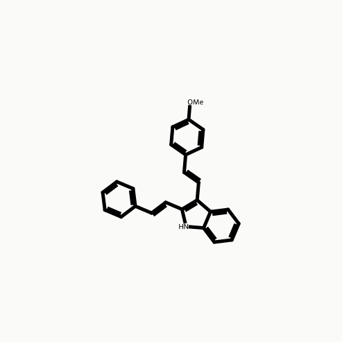 COc1ccc(/C=C/c2c(/C=C/c3ccccc3)[nH]c3ccccc23)cc1